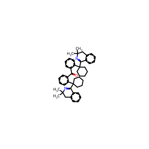 CC1(C)Cc2ccccc2C(C2(c3ccccc3C(=O)c3ccccc3C3(C4=NC(C)(C)Cc5ccccc54)CCCCC3)CCCCC2)=N1